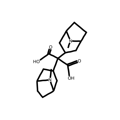 CN1C2CCC1CC(C(C(=O)O)(C(=O)O)C1CC3CCC(C1)N3C)C2